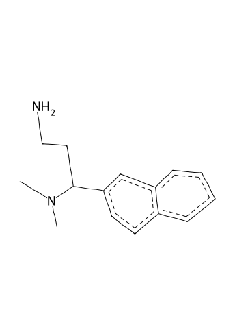 CN(C)C(CCN)c1ccc2ccccc2c1